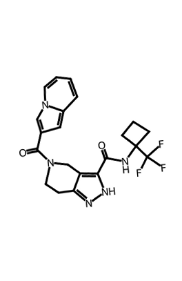 O=C(NC1(C(F)(F)F)CCC1)c1[nH]nc2c1CN(C(=O)c1cc3ccccn3c1)CC2